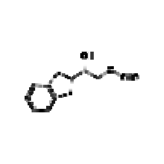 O=COCC(O)C1Cc2ccccc2C1